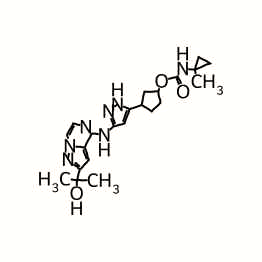 CC1(NC(=O)OC2CCC(c3cc(Nc4nccn5nc(C(C)(C)O)cc45)n[nH]3)C2)CC1